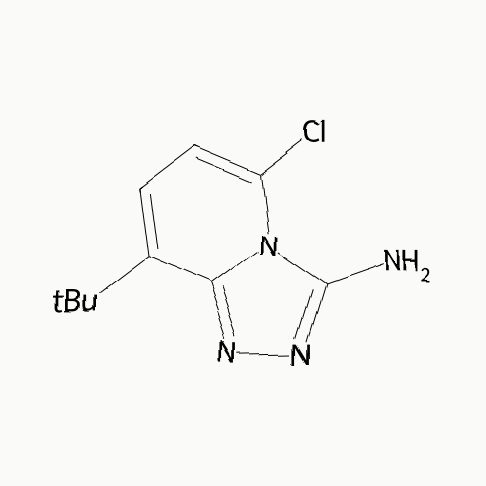 CC(C)(C)c1ccc(Cl)n2c(N)nnc12